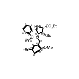 CCOC(=O)[C@H]1N[C@@H](c2cccnc2OC(C)C)[C@@H](OCc2cc(C(C)(C)C)ccc2OC)[C@@H]1C(C)(C)C